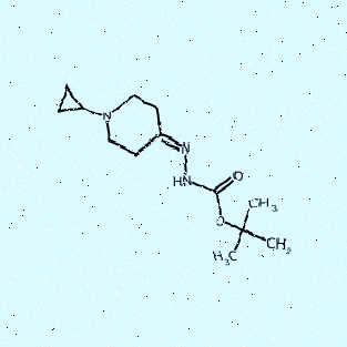 CC(C)(C)OC(=O)NN=C1CCN(C2CC2)CC1